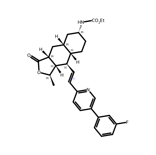 CCOC(=O)N[C@@H]1CC[C@H]2[C@@H](C1)C[C@H]1C(=O)O[C@H](C)[C@H]1[C@@H]2/C=C/c1ccc(-c2cccc(F)c2)cn1